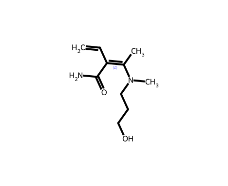 C=C/C(C(N)=O)=C(\C)N(C)CCCO